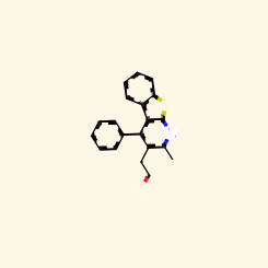 Cc1nc2sc3ccccc3c2c(-c2ccccc2)c1CC=O